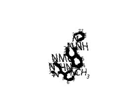 CNc1cc(-c2cccnc2Nc2c(C)ccc3c(Nc4ccccn4)nccc23)ncn1